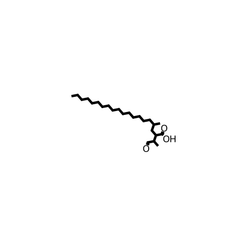 CCCCCCCCCCCCCCCCC(C)CC(C(=O)O)C(C)C=O